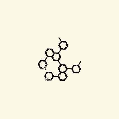 Cc1cccc(-c2cc(-c3cc(-c4cccc(C)c4)c4cccc(-c5cccnc5)c4c3)cc3c(-c4cccnc4)cccc23)c1